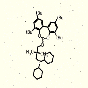 CC(C)(COp1oc2c(C(C)(C)C)cc(C(C)(C)C)cc2c2cc(C(C)(C)C)cc(C(C)(C)C)c2o1)CP(C1CCCCC1)C1CCCCC1